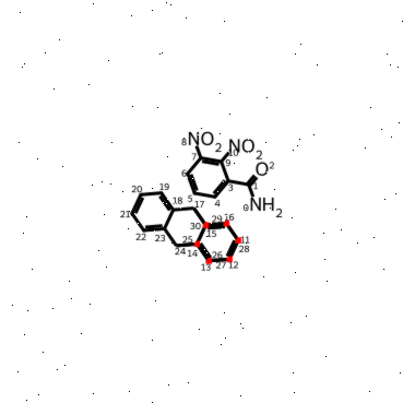 NC(=O)c1cccc([N+](=O)[O-])c1[N+](=O)[O-].c1ccc2c(c1)C1c3ccccc3C2c2ccccc21